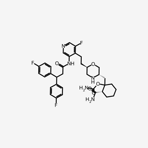 NC(=O)OC1(C[C@H]2CO[C@H](CCc3c(F)cncc3NC(=O)CC(c3ccc(F)cc3)c3ccc(F)cc3)CN2)CCCC[C@@H]1C(N)=O